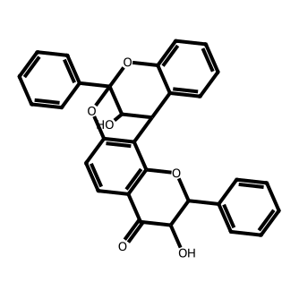 O=C1c2ccc3c(c2OC(c2ccccc2)C1O)C1c2ccccc2OC(c2ccccc2)(O3)C1O